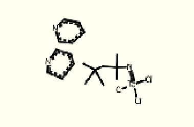 CC(C)(C)CC(C)(C)[N]=[Ta]([Cl])([Cl])[Cl].c1ccncc1.c1ccncc1